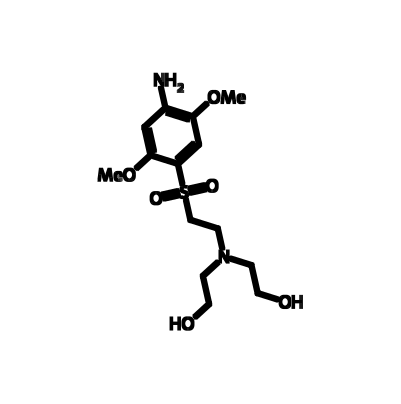 COc1cc(S(=O)(=O)CCN(CCO)CCO)c(OC)cc1N